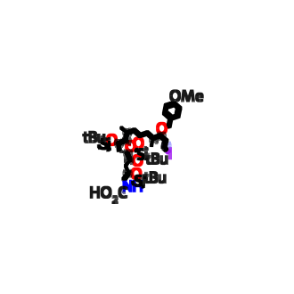 COc1ccc(CO[C@H](/C=C/I)[C@@H](C)CC(=O)C[C@H](C)[C@@H]2O[C@H]([C@H](C[C@H](CNC(=O)O)O[Si](C)(C)C(C)(C)C)O[Si](C)(C)C(C)(C)C)C[C@@H]2O[Si](C)(C)C(C)(C)C)cc1